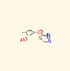 Cc1ccc(Oc2nncs2)cc1O